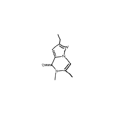 Cc1cc2c(=O)n(C)c(C)cn2n1